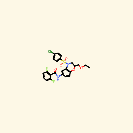 CCOCC1CN(S(=O)(=O)c2ccc(Cl)cc2)c2cc(NC(=O)c3c(F)cccc3F)ccc2O1